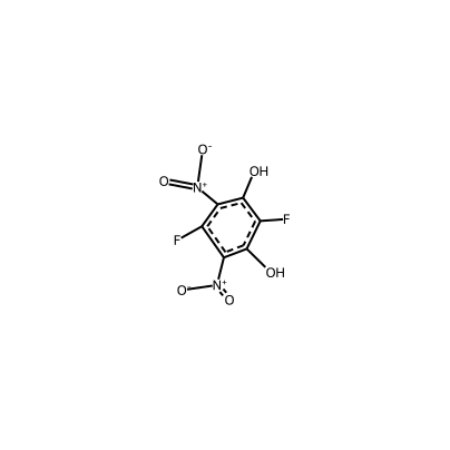 O=[N+]([O-])c1c(O)c(F)c(O)c([N+](=O)[O-])c1F